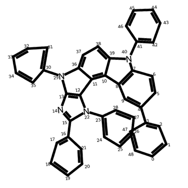 c1ccc(-c2ccc3c(c2)c2c4c5c(nc(-c6ccccc6)n5-c5ccccc5)n(-c5ccccc5)c4ccc2n3-c2ccccc2)cc1